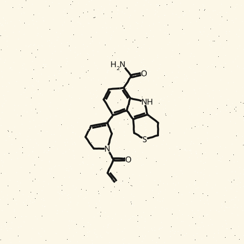 C=CC(=O)N1CCC=C(c2ccc(C(N)=O)c3[nH]c4c(c23)CSCC4)C1